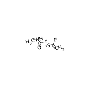 CNC(=O)CSC(C)I